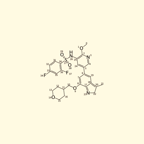 COc1ncc(-c2cc(OCC3CCOCC3)c3c(c2)=C(C)CN=3)cc1NS(=O)(=O)c1ccc(F)cc1F